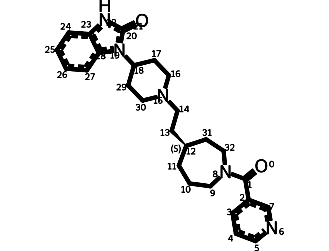 O=C(c1cccnc1)N1CCC[C@@H](CCN2CCC(n3c(=O)[nH]c4ccccc43)CC2)CC1